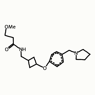 COCCC(=O)NCC1CC(Oc2ccc(CN3CCCC3)cc2)C1